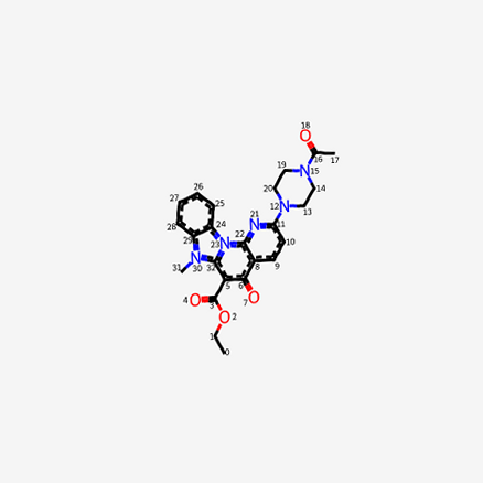 CCOC(=O)c1c(=O)c2ccc(N3CCN(C(C)=O)CC3)nc2n2c3ccccc3n(C)c12